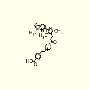 Cc1nn(-c2ccc3nnc(C)n3n2)c(C)c1CCC(=O)N1CCN(CCc2ccc(C(=O)O)cc2)CC1